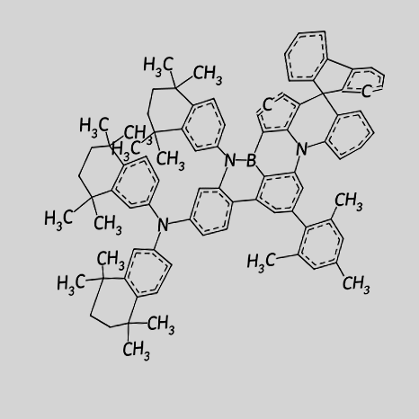 Cc1cc(C)c(-c2cc3c4c(c2)N2c5ccccc5C5(c6ccccc6-c6ccccc65)c5cccc(c52)B4N(c2ccc4c(c2)C(C)(C)CCC4(C)C)c2cc(N(c4ccc5c(c4)C(C)(C)CCC5(C)C)c4ccc5c(c4)C(C)(C)CCC5(C)C)ccc2-3)c(C)c1